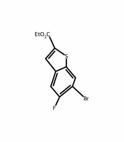 CCOC(=O)c1cc2cc(F)c(Br)cc2s1